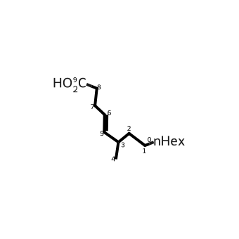 CCCCCCCCC(C)/C=C/CCC(=O)O